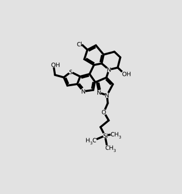 C[Si](C)(C)CCOCn1cc(N2c3c(cc(Cl)cc3-c3ccnc4cc(CO)sc34)CCC2O)cn1